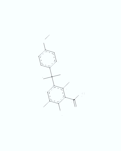 COc1ccc(C(C)(C)c2cc(C)c(O)c(C(=O)O)c2C)cc1